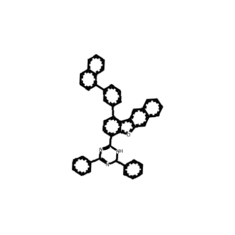 c1ccc(C2=NC(c3ccccc3)NC(c3ccc(-c4cccc(-c5cccc6ccccc56)c4)c4c3oc3cc5ccccc5cc34)=N2)cc1